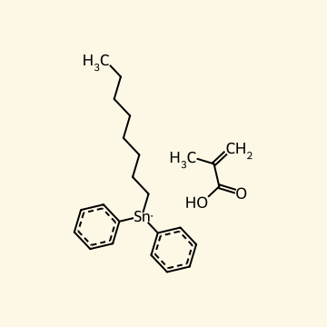 C=C(C)C(=O)O.CCCCCCC[CH2][Sn]([c]1ccccc1)[c]1ccccc1